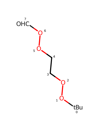 CC(C)(C)OOCCOOC=O